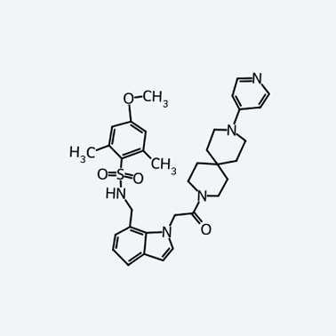 COc1cc(C)c(S(=O)(=O)NCc2cccc3ccn(CC(=O)N4CCC5(CC4)CCN(c4ccncc4)CC5)c23)c(C)c1